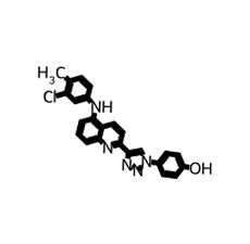 Cc1ccc(Nc2cccc3nc(-c4cn(-c5ccc(O)cc5)nn4)ccc23)cc1Cl